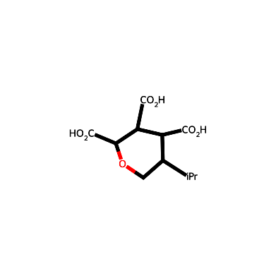 CC(C)C1COC(C(=O)O)C(C(=O)O)C1C(=O)O